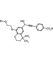 CCOCCOc1cc(C(O)C#Cc2ccc(C(=O)O)cc2)cc2c1SCCC2(C)C